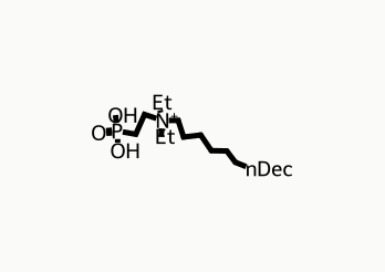 CCCCCCCCCCCCCCCC[N+](CC)(CC)CCP(=O)(O)O